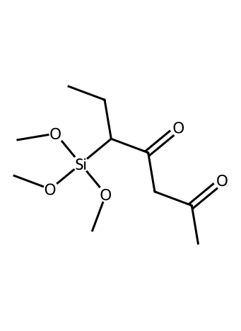 CCC(C(=O)CC(C)=O)[Si](OC)(OC)OC